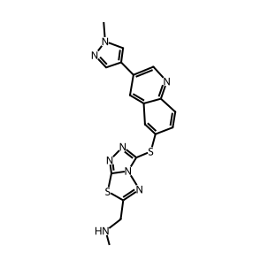 CNCc1nn2c(Sc3ccc4ncc(-c5cnn(C)c5)cc4c3)nnc2s1